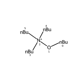 CCCCO[N+](CCCC)(CCCC)CCCC